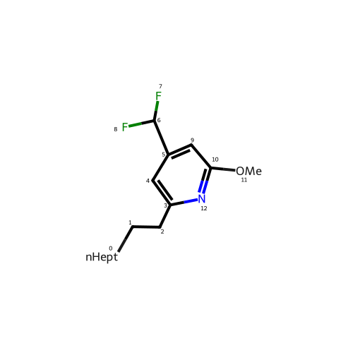 CCCCCCCCCc1cc(C(F)F)cc(OC)n1